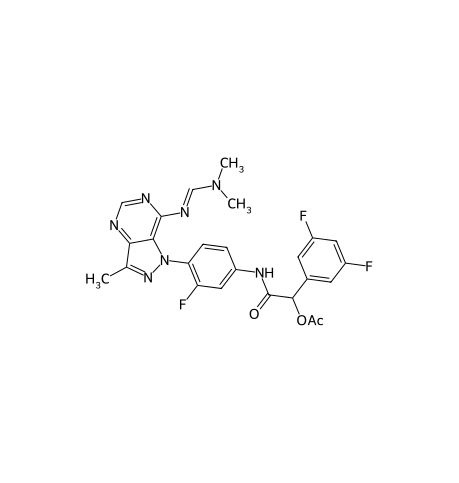 CC(=O)OC(C(=O)Nc1ccc(-n2nc(C)c3ncnc(/N=C/N(C)C)c32)c(F)c1)c1cc(F)cc(F)c1